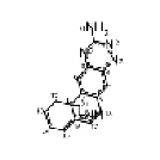 Nc1nnc2cc3c(cc2n1)C12CC=CC=C1C(=C3)NCC2